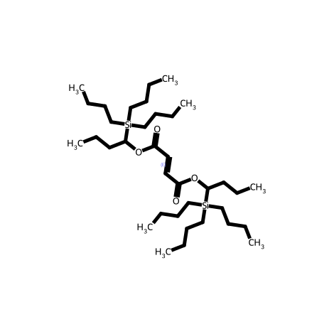 CCCC[Si](CCCC)(CCCC)C(CCC)OC(=O)/C=C/C(=O)OC(CCC)[Si](CCCC)(CCCC)CCCC